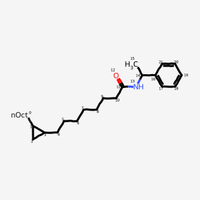 CCCCCCCCC1CC1CCCCCCCC(=O)NC(C)c1ccccc1